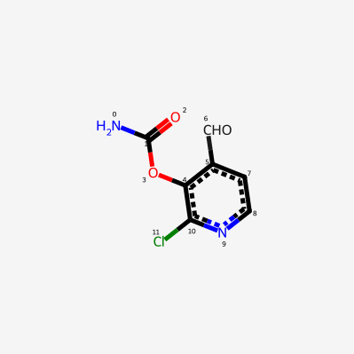 NC(=O)Oc1c(C=O)ccnc1Cl